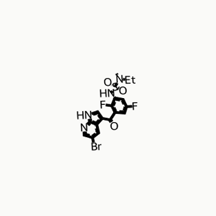 CCN(C)S(=O)(=O)Nc1cc(F)cc(C(=O)c2c[nH]c3ncc(Br)cc23)c1F